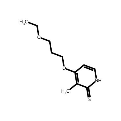 CCOCCCOc1cc[nH]c(=S)c1C